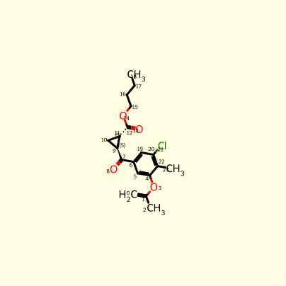 C=C(C)Oc1cc(C(=O)[C@H]2C[C@@H]2C(=O)OCCCC)cc(Cl)c1C